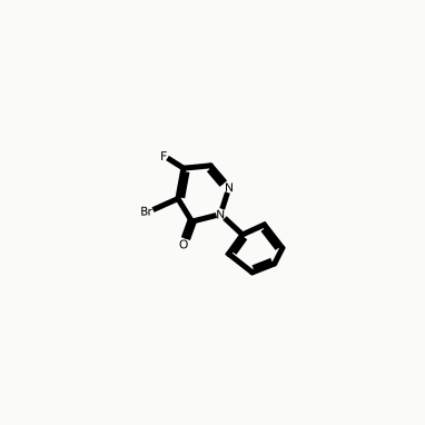 O=c1c(Br)c(F)cnn1-c1ccccc1